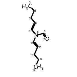 CCCC=CN([C]=O)C=CCCC